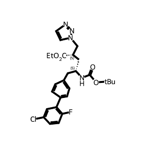 CCOC(=O)[C@@H](C[C@@H](Cc1ccc(-c2cc(Cl)ccc2F)cc1)NC(=O)OC(C)(C)C)Cn1ccnn1